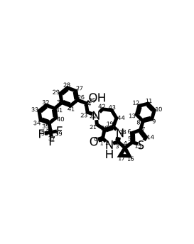 O=c1[nH]c(C2(c3cc(-c4ccccc4)cs3)CC2)nc2c1CN(C[C@H](O)c1cccc(-c3cccc(C(F)(F)F)c3)c1)CCC2